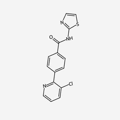 O=C(Nc1nccs1)c1ccc(-c2ncccc2Cl)cc1